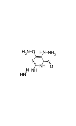 N=NNC1=NC(ON)=C(NN)C(N=O)N1